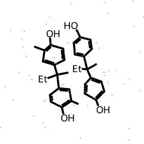 CCC(C)(c1ccc(O)c(C)c1)c1ccc(O)c(C)c1.CCC(C)(c1ccc(O)cc1)c1ccc(O)cc1